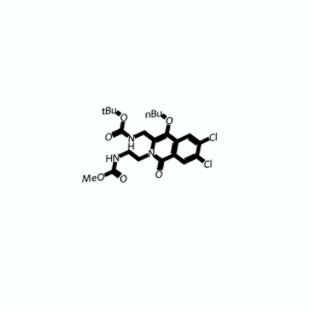 CCCCOc1c(CNC(=O)OC(C)(C)C)n(CCNC(=O)OC)c(=O)c2cc(Cl)c(Cl)cc12